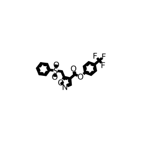 O=C(Oc1ccc(C(F)(F)F)cc1)c1cnoc1CS(=O)(=O)c1ccccc1